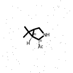 CC(=O)[C@H]1NCC2[C@@H]1C2(C)C